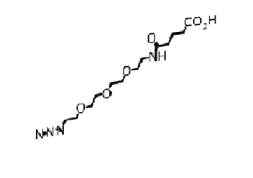 [N-]=[N+]=NCCOCCOCCOCCNC(=O)CCCC(=O)O